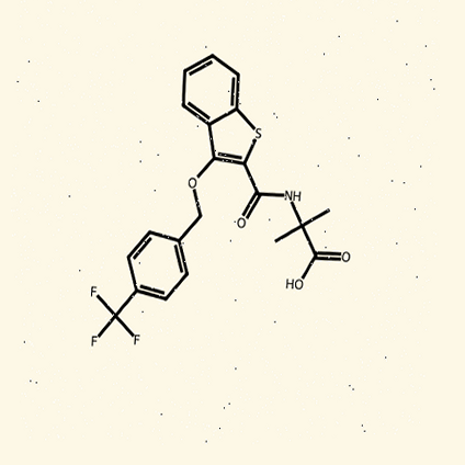 CC(C)(NC(=O)c1sc2ccccc2c1OCc1ccc(C(F)(F)F)cc1)C(=O)O